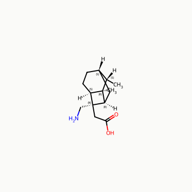 C[C@H]1[C@H]2CC[C@@H]3[C@](CN)(CC(=O)O)[C@H](C2)[C@@]31C